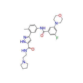 Cc1ccc(NC(=O)c2cc(F)cc(N3CCOCC3)c2)cc1-c1cc(C(=O)NCCN2CCCC2)[nH]n1